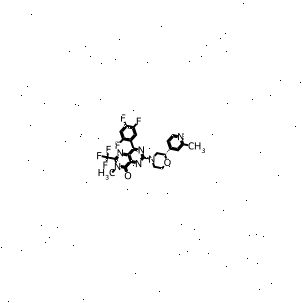 Cc1cc([C@H]2CN(c3nc(-c4cc(F)c(F)cc4F)c4nc(C(F)(F)F)n(C)c(=O)c4n3)CCO2)ccn1